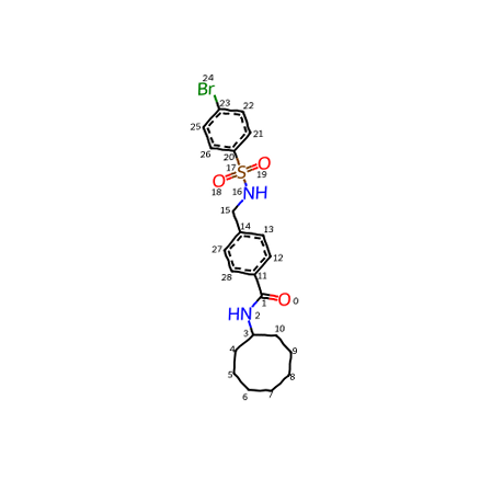 O=C(NC1CCCCCCC1)c1ccc(CNS(=O)(=O)c2ccc(Br)cc2)cc1